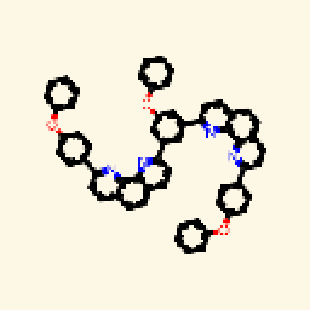 c1ccc(Oc2ccc(-c3ccc4ccc5ccc(-c6cc(Oc7ccccc7)cc(-c7ccc8ccc9ccc(-c%10ccc(Oc%11ccccc%11)cc%10)nc9c8n7)c6)nc5c4n3)cc2)cc1